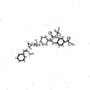 CC/C(=C\c1ccccc1)[C@@H]1C[C@H]1NC[C@H]1CC[C@H](N(Cc2ccc(C(=O)OC)cc2)C(=O)OC(C)(C)C)CC1